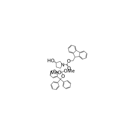 COC(OC)(OC(c1ccccc1)(c1ccccc1)c1ccccc1)[C@@H]1C[C@@H](O)CN1C(=O)OCC1c2ccccc2-c2ccccc21